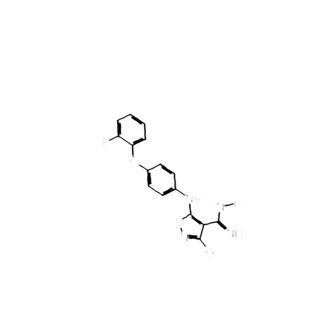 CC(C)NC(=N)c1c(O)nsc1Nc1ccc(Oc2ccccc2F)cc1